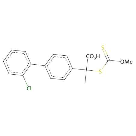 COC(=S)SC(C)(C(=O)O)c1ccc(-c2ccccc2Cl)cc1